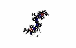 C=C(c1oc2c(N(c3ccccc3)c3ccc4c5cccc6c7cc8c(cc7n(c4c3)c56)c3cccc4c5ccc(N(c6ccccc6)c6c(C)ccc7c6oc6c(C(C)(C)C)cccc67)cc5n8c43)c(C)ccc2c1/C=C\C)C(C)(C)C